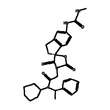 CNC(=O)Nc1ccc2c(c1)CC[C@@]21OC(=O)N(CC(=O)N(C2CCCCC2)C(C)c2ccccc2)C1=O